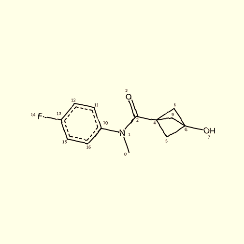 CN(C(=O)C12CC(O)(C1)C2)c1ccc(F)cc1